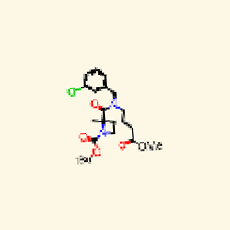 COC(=O)CCCN(Cc1cccc(Cl)c1)C(=O)C1(C)CCN1C(=O)OC(C)(C)C